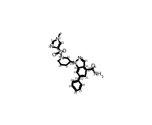 Cn1cnc(S(=O)(=O)N2CCCC(n3ncc4c(C(N)=O)cc(-c5ccccc5)cc43)C2)c1